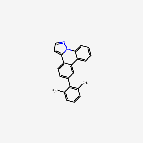 Cc1cccc(C)c1-c1ccc2c(c1)c1ccccc1n1nccc21